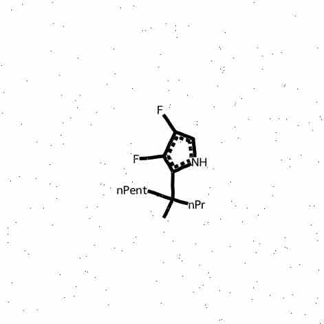 CCCCCC(C)(CCC)c1[nH]cc(F)c1F